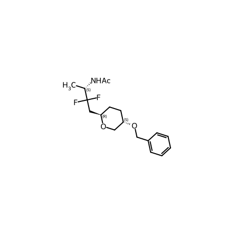 CC(=O)N[C@@H](C)C(F)(F)C[C@H]1CC[C@H](OCc2ccccc2)CO1